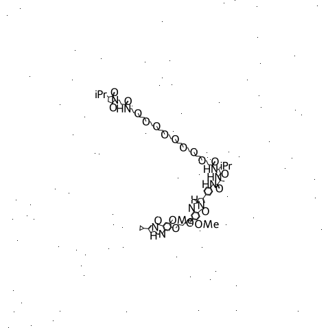 COc1cc2c(cc1OCCCOc1cc3c(cc1OC)C(=O)N1C=C(C4CC4)C[C@H]1C=N3)N=C[C@@H]1CC(c3ccc(NC(=O)[C@H](C)NC(=O)[C@@H](NC(=O)CCOCCOCCOCCOCCOCCOCCOCCOCCNC(=O)CCN4C(=O)CC(C(C)C)C4=O)C(C)C)cc3)=CN1C2=O